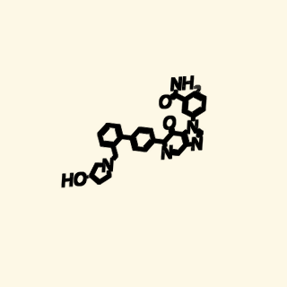 NC(=O)c1cccc(-n2cnc3c2C(=O)C(c2ccc(-c4ccccc4CN4CC[C@H](O)C4)cc2)N=C3)c1